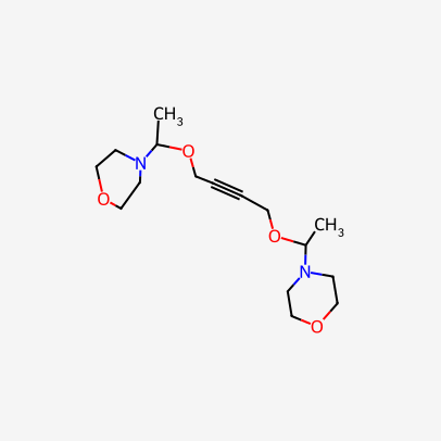 CC(OCC#CCOC(C)N1CCOCC1)N1CCOCC1